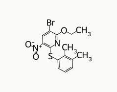 CCOc1nc(Sc2cccc(C)c2C)c([N+](=O)[O-])cc1Br